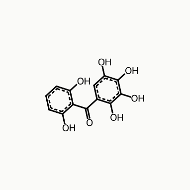 O=C(c1cc(O)c(O)c(O)c1O)c1c(O)cccc1O